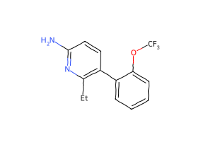 CCc1nc(N)ccc1-c1ccccc1OC(F)(F)F